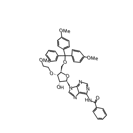 COCCO[C@H]1[C@@H](O)[C@H](n2cnc3c(NC(=O)c4ccccc4)ncnc32)O[C@@H]1COC(c1ccccc1)(c1ccc(OC)cc1)c1ccc(OC)cc1